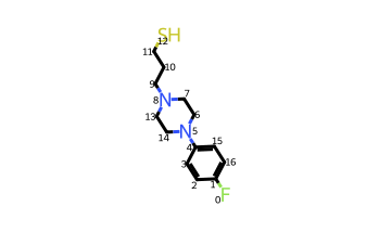 Fc1ccc(N2CCN(CCCS)CC2)cc1